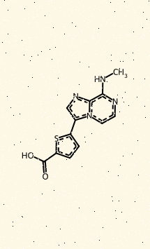 CNc1nccn2c(-c3ccc(C(=O)O)s3)cnc12